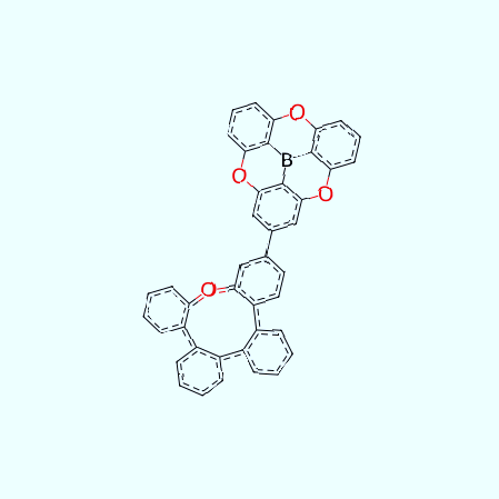 c1cc2c3c(c1)Oc1cc(-c4ccc5c(c4)oc4ccccc4c4ccccc4c4ccccc54)cc4c1B3c1c(cccc1O4)O2